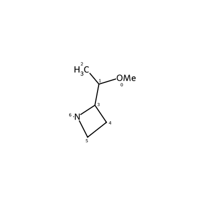 COC(C)C1CC[N]1